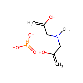 C=C(O)CN(C)CC(=C)O.O=[PH](O)O